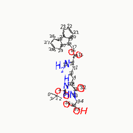 CC(C)(C)OC(=O)N[C@@H](CCCC(N)C(=O)OCC1c2ccccc2-c2ccccc21)C(=O)NCC(=O)O